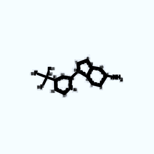 Nc1ccc2c(ccn2-c2cc(C(F)(F)F)ccn2)c1